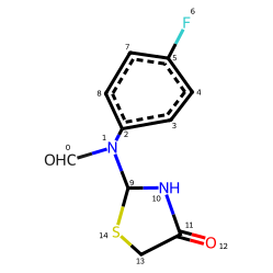 O=CN(c1ccc(F)cc1)C1NC(=O)CS1